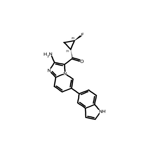 Nc1nc2ccc(-c3ccc4[nH]ccc4c3)cn2c1C(=O)[C@@H]1C[C@H]1F